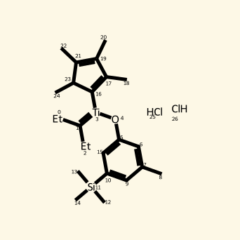 CC[C](CC)=[Ti]([O]c1cc(C)cc([Si](C)(C)C)c1)[C]1=C(C)C(C)=C(C)C1C.Cl.Cl